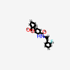 O=C1OC2(CCC(C(=O)NC3CC3c3ccccc3F)CC2)c2ccccc21